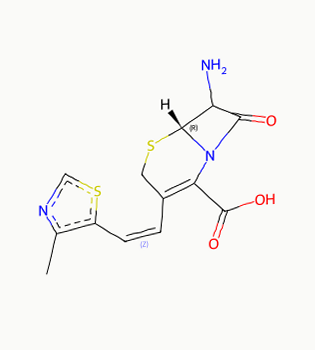 Cc1ncsc1/C=C\C1=C(C(=O)O)N2C(=O)C(N)[C@H]2SC1